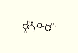 O=C(N[C@@H]1C[C@@H]2CC[C@H]1C2)[C@@H]1CCN(c2cccc(C(F)(F)F)n2)C1